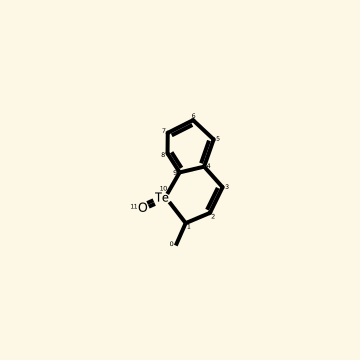 CC1C=Cc2ccccc2[Te]1=O